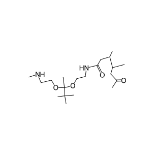 CNCCOC(C)(OCCNC(=O)CC(C)C(C)CC(C)=O)C(C)(C)C